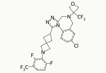 Fc1ccc(C(F)(F)F)c(F)c1N1CC2(CC(c3nnc4n3-c3ccc(Cl)cc3CN(C3(C(F)(F)F)COC3)C4)C2)C1